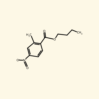 CCCCOC(=O)c1ccc([N+](=O)[O-])cc1C